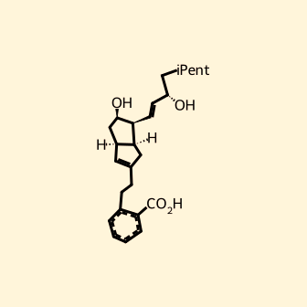 CCCC(C)C[C@H](O)/C=C/[C@H]1[C@H]2CC(CCc3ccccc3C(=O)O)=C[C@H]2C[C@H]1O